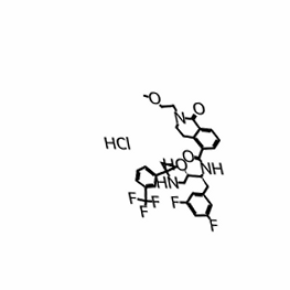 COCCN1CCc2c(C(=O)N[C@@H](Cc3cc(F)cc(F)c3)[C@@H](O)CNC3(c4cccc(C(F)(F)F)c4)CC3)cccc2C1=O.Cl